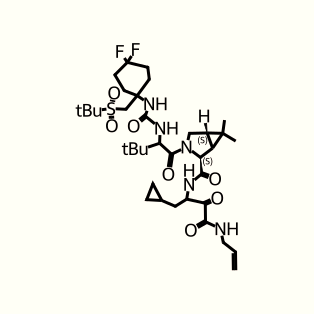 C=CCNC(=O)C(=O)C(CC1CC1)NC(=O)[C@@H]1C2[C@H](CN1C(=O)C(NC(=O)NC1(CS(=O)(=O)C(C)(C)C)CCC(F)(F)CC1)C(C)(C)C)C2(C)C